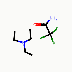 CCN(CC)CC.NC(=O)C(F)(F)F